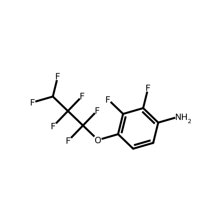 Nc1ccc(OC(F)(F)C(F)(F)C(F)F)c(F)c1F